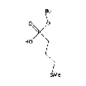 CCC(C)OP(=O)(O)CCCSC